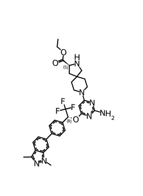 CCOC(=O)[C@@H]1CC2(CCN(c3cc(O[C@H](c4ccc(-c5ccc6c(C)nn(C)c6c5)cc4)C(F)(F)F)nc(N)n3)CC2)CN1